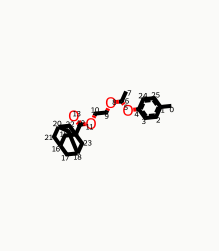 Cc1ccc(OC(C)OCCOC(=O)C23CC4CC(CC(C4)C2)C3)cc1